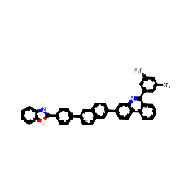 FC(F)(F)c1cc(-c2nc3cc(-c4ccc5cc(-c6ccc(-c7nc8ccccc8o7)cc6)ccc5c4)ccc3c3ccccc23)cc(C(F)(F)F)c1